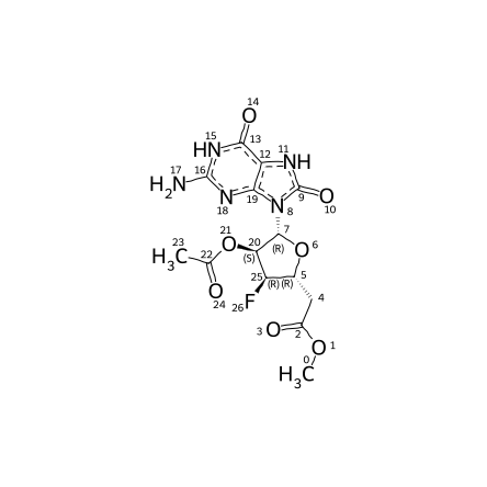 COC(=O)C[C@H]1O[C@@H](n2c(=O)[nH]c3c(=O)[nH]c(N)nc32)[C@H](OC(C)=O)[C@@H]1F